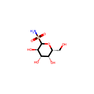 NS(=O)(=O)C1O[C@H](CO)[C@H](O)[C@H](O)[C@H]1O